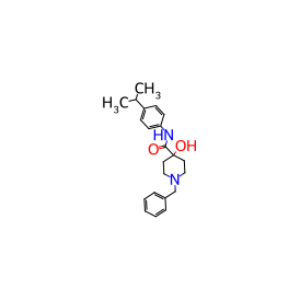 CC(C)c1ccc(NC(=O)C2(O)CCN(Cc3ccccc3)CC2)cc1